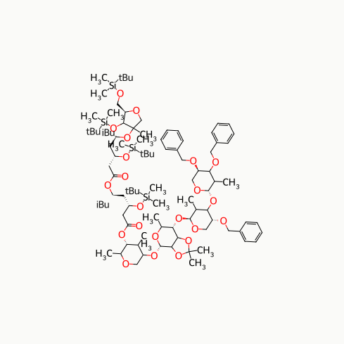 CC[C@H](C)[C@H](C[C@@H](CC(=O)O[C@H]1C(C)OCC(O[C@@H]2OC(C)[C@H](O[C@@H]3OC[C@@H](OCc4ccccc4)C(O[C@@H]4OC[C@@H](OCc5ccccc5)C(OCc5ccccc5)C4C)C3C)C3OC(C)(C)OC32)C1C)O[Si](C)(C)C(C)(C)C)OC(=O)C[C@H](C[C@H](OC1(C)CO[C@H](CO[Si](C)(C)C(C)(C)C)C1O[Si](C)(C)C(C)(C)C)[C@@H](C)CC)O[Si](C)(C)C(C)(C)C